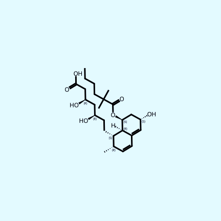 CCCCC(C)(C)C(=O)O[C@H]1C[C@H](O)C=C2C=C[C@H](C)[C@H](CC[C@@H](O)C[C@@H](O)CC(=O)O)[C@H]21